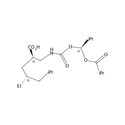 CC[C@@H](CC(C)C)C[C@H](CNC(=O)O[C@H](OC(=O)C(C)C)C(C)C)C(=O)O